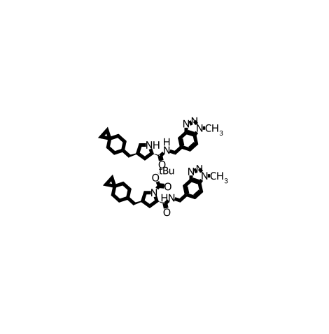 Cn1nnc2cc(CNC(=O)[C@@H]3C[C@@H](CC4CCC5(CC4)CC5)CN3)ccc21.Cn1nnc2cc(CNC(=O)[C@@H]3C[C@@H](CC4CCC5(CC4)CC5)CN3C(=O)OC(C)(C)C)ccc21